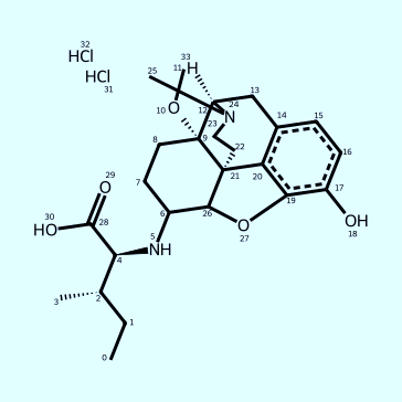 CC[C@H](C)[C@H](NC1CC[C@@]2(OC)[C@H]3Cc4ccc(O)c5c4[C@@]2(CCN3C)C1O5)C(=O)O.Cl.Cl